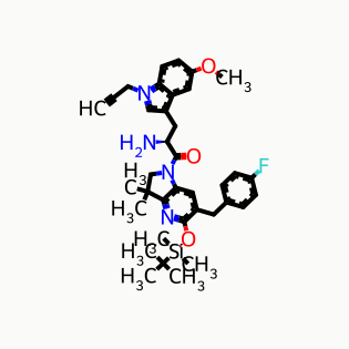 C#CCn1cc(C[C@H](N)C(=O)N2CC(C)(C)c3nc(O[Si](C)(C)C(C)(C)C)c(Cc4ccc(F)cc4)cc32)c2cc(OC)ccc21